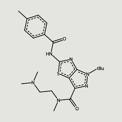 Cc1ccc(C(=O)Nc2nc3c(s2)c(C(=O)N(C)CCN(C)C)nn3C(C)(C)C)cc1